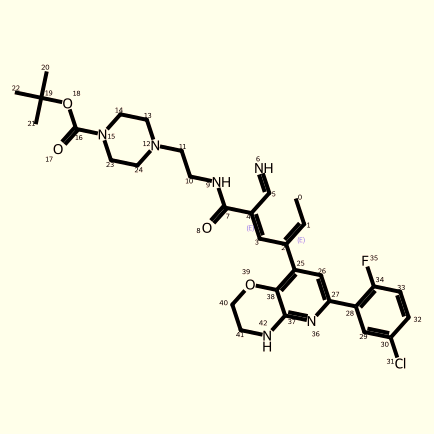 C/C=C(\C=C(/C=N)C(=O)NCCN1CCN(C(=O)OC(C)(C)C)CC1)c1cc(-c2cc(Cl)ccc2F)nc2c1OCCN2